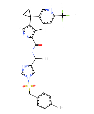 Cc1ccc(CS(=O)(=O)n2cnc(C(C)NC(=O)c3[nH]cc(C4(c5ccc(C(F)(F)F)nc5)CC4)c3C)c2)cc1